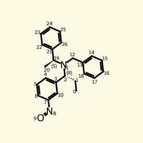 CC[C@H](c1cccc(N=O)c1)N(Cc1ccccc1)[C@@H](C)c1ccccc1